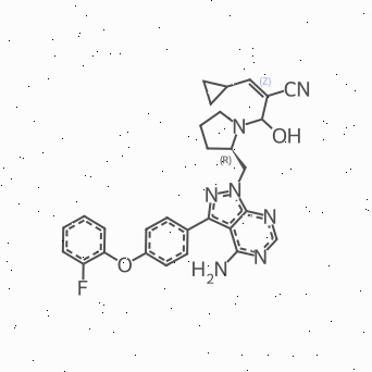 N#C/C(=C/C1CC1)C(O)N1CCC[C@@H]1Cn1nc(-c2ccc(Oc3ccccc3F)cc2)c2c(N)ncnc21